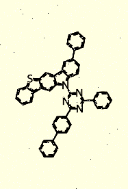 c1ccc(-c2ccc(-c3nc(-c4ccccc4)nc(-n4c5ccc(-c6ccccc6)cc5c5cc6sc7ccccc7c6cc54)n3)cc2)cc1